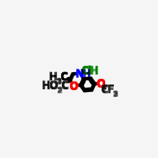 CC1(C(=O)O)CNc2cc(OC(F)(F)F)ccc2O1.Cl